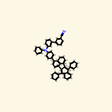 N#Cc1cccc(-c2cccc(N(c3ccccc3)c3ccc(-c4ccc5c6c(cccc46)-c4c-5c(-c5ccccc5)c5ccccc5c4-c4ccccc4)cc3)c2)c1